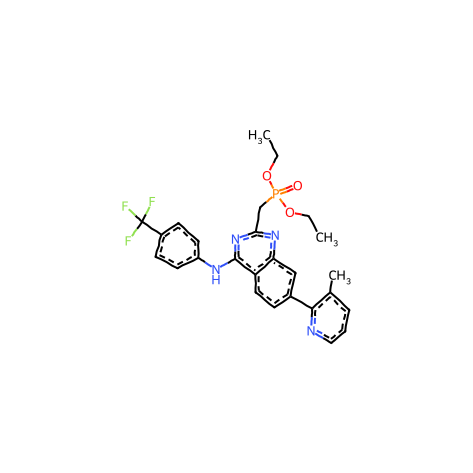 CCOP(=O)(Cc1nc(Nc2ccc(C(F)(F)F)cc2)c2ccc(-c3ncccc3C)cc2n1)OCC